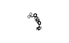 COC(=O)Cc1cccc(CN(Cc2ccc(-c3cnccn3)cc2)S(C)(=O)=O)c1